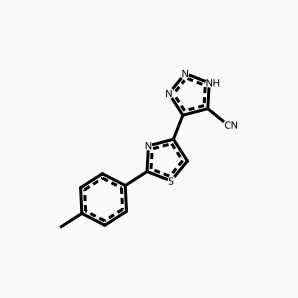 Cc1ccc(-c2nc(-c3nn[nH]c3C#N)cs2)cc1